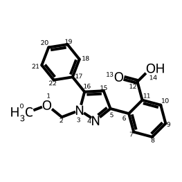 COCn1nc(-c2ccccc2C(=O)O)cc1-c1ccccc1